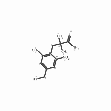 CC(C)Cc1cc([N+](=O)[O-])c(CC(C)(C)C(N)=O)c([N+](=O)[O-])c1